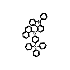 c1ccc(-n2c3ccccc3c3c(N(c4ccc([Si](c5ccccc5)(c5ccccc5)c5ccccc5)cc4)c4cccc5ccccc45)cccc32)cc1